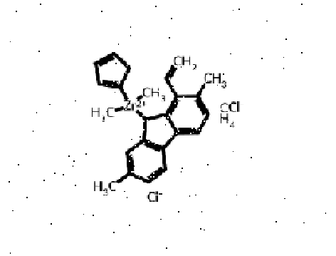 C.C=Cc1c(C)ccc2c1[CH]([Zr+2]([CH3])([CH3])[C]1=CC=CC1)c1cc(C)ccc1-2.[Cl-].[Cl-]